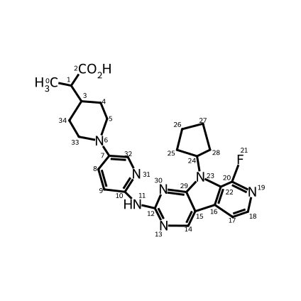 CC(C(=O)O)C1CCN(c2ccc(Nc3ncc4c5ccnc(F)c5n(C5CCCC5)c4n3)nc2)CC1